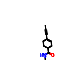 CC#CC1=CCC(C(=O)NC)CC1